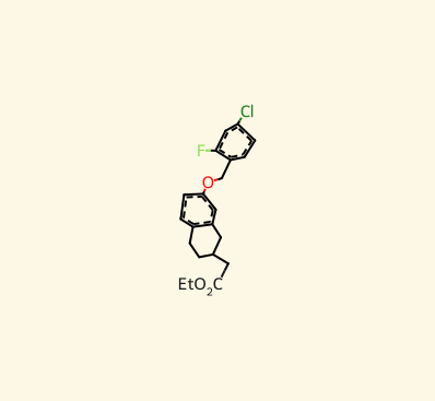 CCOC(=O)CC1CCc2ccc(OCc3ccc(Cl)cc3F)cc2C1